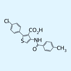 Cc1ccc(C(=O)Nc2csc(-c3ccc(Cl)cc3)c2C(=O)O)cc1